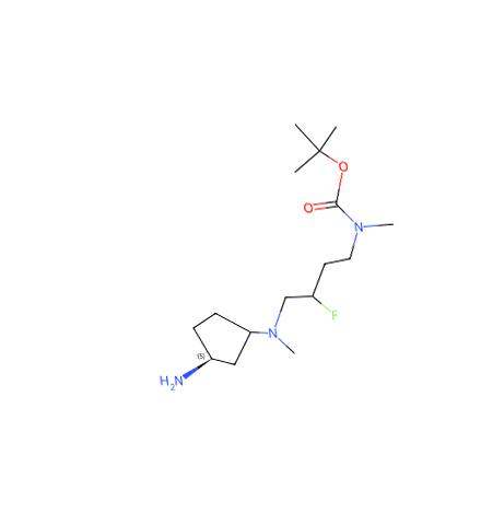 CN(CCC(F)CN(C)C1CC[C@H](N)C1)C(=O)OC(C)(C)C